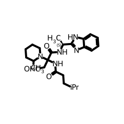 CC(C)CCC(=O)NC(CC=O)(C(=O)N[C@@H](C)c1nc2ccccc2[nH]1)N1CCCCC1C